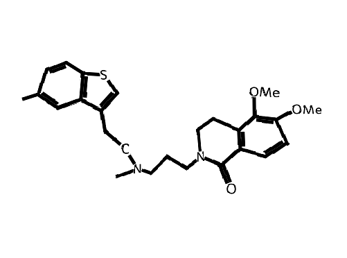 COc1ccc2c(c1OC)CCN(CCCN(C)CCc1csc3ccc(C)cc13)C2=O